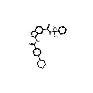 CC(C)(NC(=O)c1ccc2[nH]nc(NC(=O)c3ccc(N4CCOCC4)cc3)c2c1)c1ccccc1